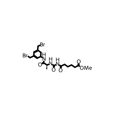 COC(=O)CCCCC(=O)NC(=O)N[C@@H](C)C(=O)NC1C=C(CBr)C=C(CBr)C1